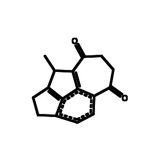 CC1C2=c3c(ccc4c3=C1C(=O)CCC4=O)CC2